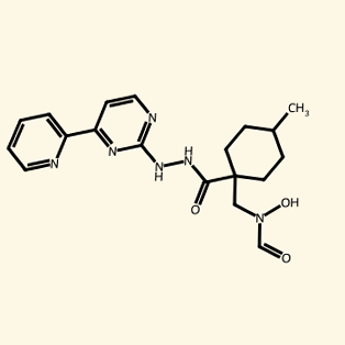 CC1CCC(CN(O)C=O)(C(=O)NNc2nccc(-c3ccccn3)n2)CC1